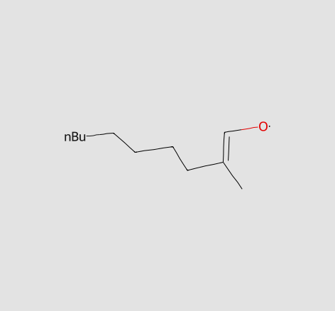 CCCCCCCCC(C)=C[O]